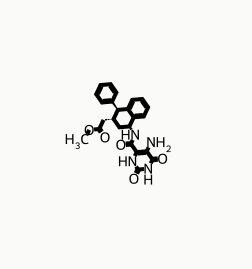 COC(=O)C[C@H]1C[C@H](NC(=O)c2[nH]c(=O)[nH]c(=O)c2N)c2ccccc2[C@@H]1c1ccccc1